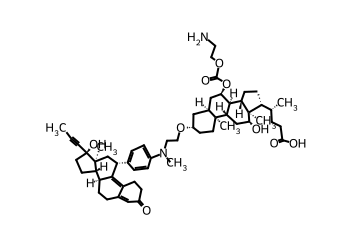 CC#C[C@@]1(O)CC[C@H]2[C@@H]3CCC4=CC(=O)CCC4=C3[C@@H](c3ccc(N(C)CCO[C@H]4CC[C@@]5(C)[C@@H](C4)C[C@@H](OC(=O)OCCN)[C@@H]4[C@@H]5C[C@H](O)[C@]5(C)[C@@H]([C@H](C)CCC(=O)O)CC[C@@H]45)cc3)C[C@@]21C